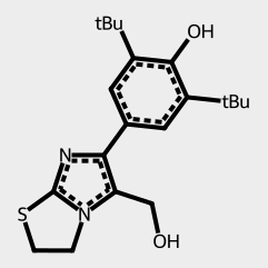 CC(C)(C)c1cc(-c2nc3n(c2CO)CCS3)cc(C(C)(C)C)c1O